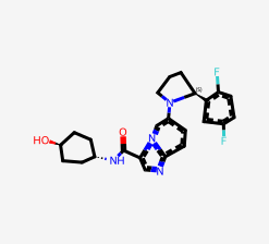 O=C(N[C@H]1CC[C@H](O)CC1)c1cnc2ccc(N3CCC[C@H]3c3cc(F)ccc3F)cn12